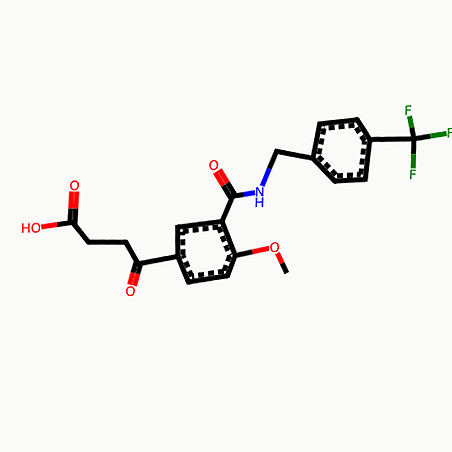 COc1ccc(C(=O)CCC(=O)O)cc1C(=O)NCc1ccc(C(F)(F)F)cc1